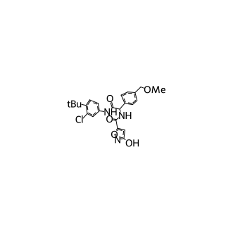 COCc1ccc(C(NC(=O)c2cc(O)no2)C(=O)Nc2ccc(C(C)(C)C)c(Cl)c2)cc1